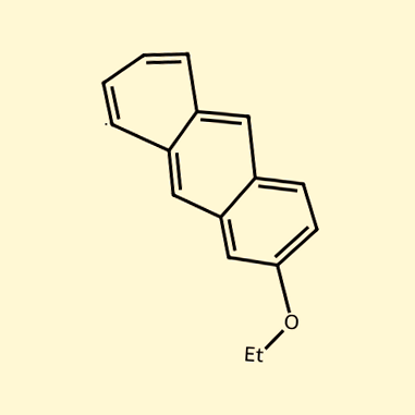 CCOc1ccc2cc3ccc[c]c3cc2c1